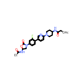 CCC(=O)NC1CN(c2ccc(-c3ccc(N4CCC(NC(=O)COC(C)=O)CC4)nc3)c(F)c2)C(=O)O1